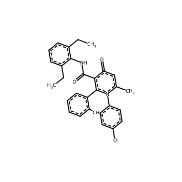 CCc1cccc(CC)c1NC(=O)c1c(-c2ccccc2C)n(-c2ccc(Cl)cc2)c(C)cc1=O